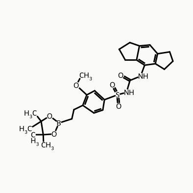 COc1cc(S(=O)(=O)NC(=O)Nc2c3c(cc4c2CCC4)CCC3)ccc1CCB1OC(C)(C)C(C)(C)O1